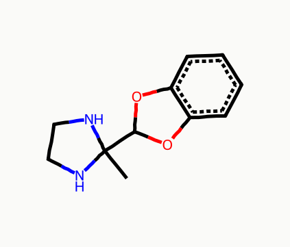 CC1(C2Oc3ccccc3O2)NCCN1